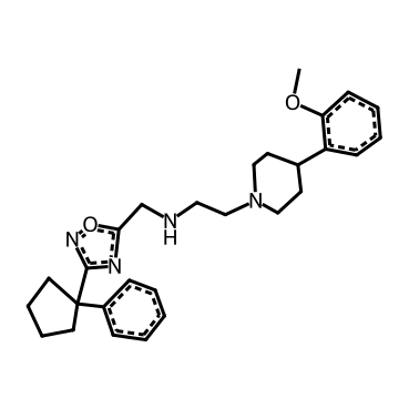 COc1ccccc1C1CCN(CCNCc2nc(C3(c4ccccc4)CCCC3)no2)CC1